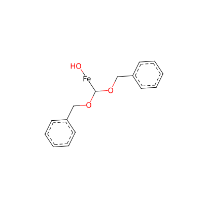 [OH][Fe][CH](OCc1ccccc1)OCc1ccccc1